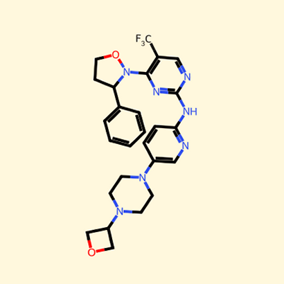 FC(F)(F)c1cnc(Nc2ccc(N3CCN(C4COC4)CC3)cn2)nc1N1OCCC1c1ccccc1